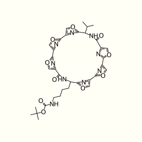 CC(C)C1NC(=O)c2coc(n2)-c2coc(n2)-c2coc(n2)C(CCCCNC(=O)OC(C)(C)C)NC(=O)c2coc(n2)-c2coc(n2)-c2coc1n2